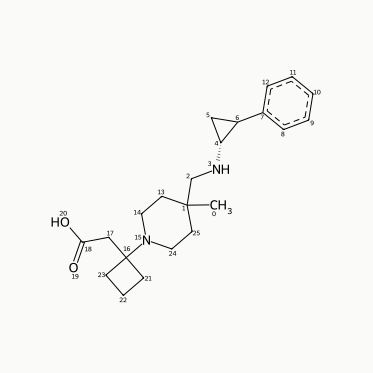 CC1(CN[C@@H]2CC2c2ccccc2)CCN(C2(CC(=O)O)CCC2)CC1